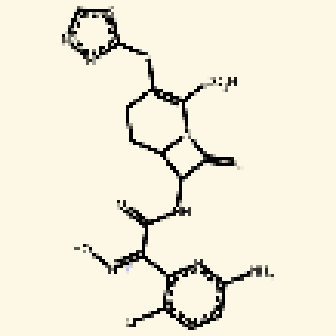 Nc1ccc(Cl)c(/C(=N/O)C(=O)NC2C(=O)N3C(C(=O)O)=C(Sc4nncs4)CCC23)n1